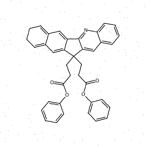 O=C(CCC1(CCC(=O)Oc2ccccc2)c2cc3c(cc2-c2nc4ccccc4cc21)=CCCC=3)Oc1ccccc1